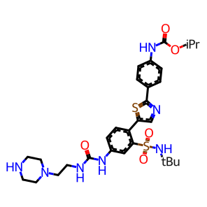 CC(C)OC(=O)Nc1ccc(-c2ncc(-c3ccc(NC(=O)NCCN4CCNCC4)cc3S(=O)(=O)NC(C)(C)C)s2)cc1